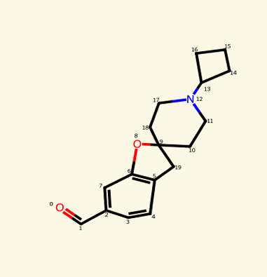 O=Cc1ccc2c(c1)OC1(CCN(C3CCC3)CC1)C2